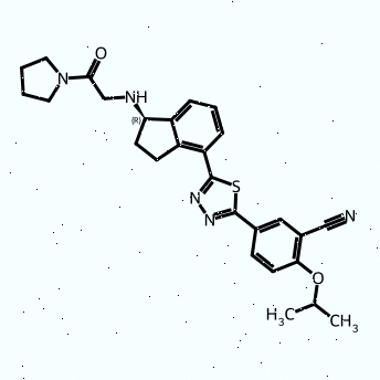 CC(C)Oc1ccc(-c2nnc(-c3cccc4c3CC[C@H]4NCC(=O)N3CCCC3)s2)cc1C#N